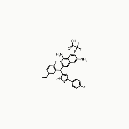 CCc1ccc(F)c(C(c2cc3cc(N)ccc3c(N)n2)c2nc(-c3ccc(F)cc3)nn2C)c1.O=C(O)C(F)(F)F